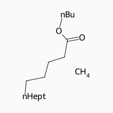 C.CCCCCCCCCCCC(=O)OCCCC